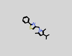 Cc1cc(C(C)C)c(C)n1Cc1csc(-c2ccccc2)n1